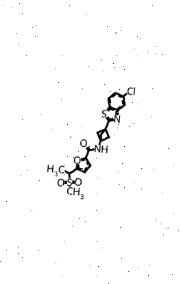 CC(c1ccc(C(=O)NC23CC(c4nc5cc(Cl)ccc5s4)(C2)C3)o1)S(C)(=O)=O